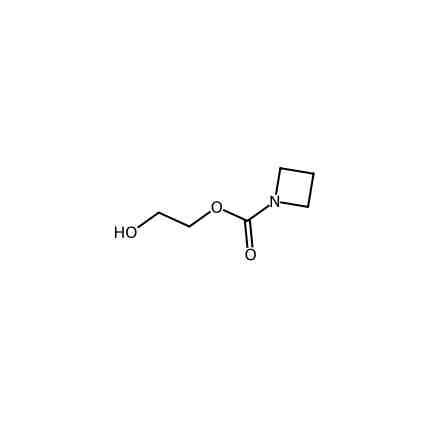 O=C(OCCO)N1CCC1